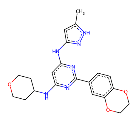 Cc1cc(Nc2cc(NC3CCOCC3)nc(-c3ccc4c(c3)OCCO4)n2)n[nH]1